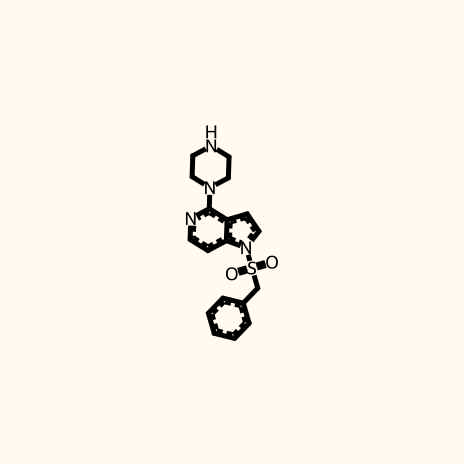 O=S(=O)(Cc1ccccc1)n1ccc2c(N3CCNCC3)nccc21